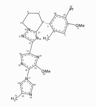 COc1cc(C)c([C@H]2CCCn3nc(-c4cnc(-n5cnc(C)c5)c(OC)n4)nc32)cc1C(C)C